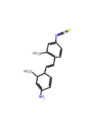 NC1=CC(S(=O)(=O)O)C(C=Cc2ccc(N=C=S)cc2S(=O)(=O)O)C=C1